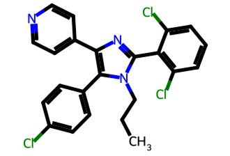 CCCn1c(-c2c(Cl)cccc2Cl)nc(-c2ccncc2)c1-c1ccc(Cl)cc1